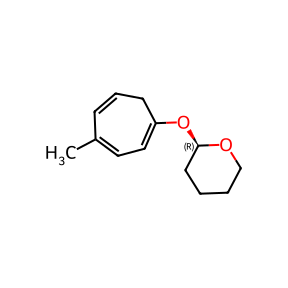 CC1=CC=C(O[C@@H]2CCCCO2)CC=C1